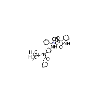 C/C(OC(=O)C1C(=O)Nc2ccccc21)=C(/Nc1ccc(N(CCN(C)C)C(=O)Cc2ccccc2)cc1)c1ccccc1